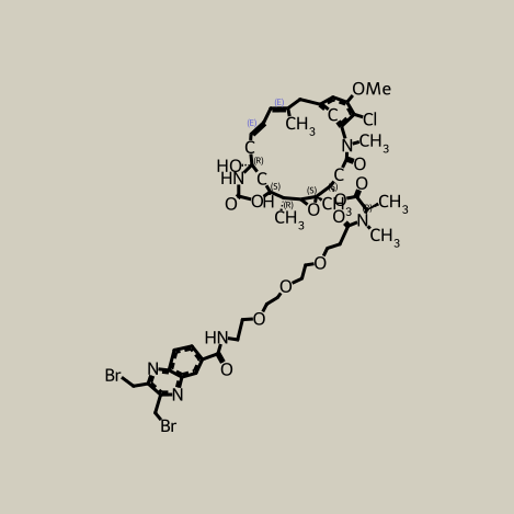 COc1cc2cc(c1Cl)N(C)C(=O)C[C@H](OC(=O)[C@@H](C)N(C)C(=O)CCOCCOCCOCCNC(=O)c1ccc3nc(CBr)c(CBr)nc3c1)[C@]1(C)OC1[C@H](C)[C@@H]1C[C@](O)(C/C=C/C=C(\C)C2)NC(=O)O1